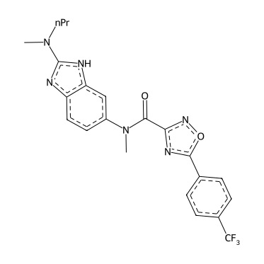 CCCN(C)c1nc2ccc(N(C)C(=O)c3noc(-c4ccc(C(F)(F)F)cc4)n3)cc2[nH]1